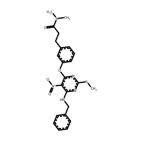 CSc1nc(NCc2ccccc2)c([N+](=O)[O-])c(Oc2cccc(CCC(=O)N(C)C)c2)n1